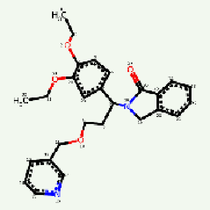 CCOc1ccc(C(CCOCc2cccnc2)N2Cc3ccccc3C2=O)cc1OCC